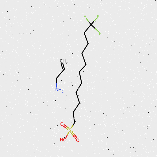 C=CCN.O=S(=O)(O)CCCCCCCCCCC(F)(F)F